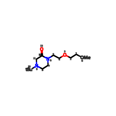 COCCOCCN1CCN(C(C)(C)C)CC1=O